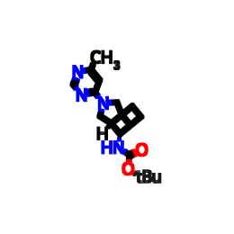 Cc1cc(N2C[C@H]3[C@H](NC(=O)OC(C)(C)C)C4CCC43C2)ncn1